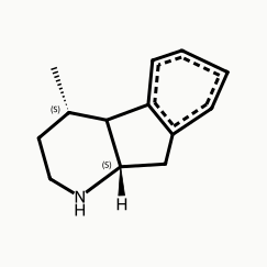 C[C@H]1CCN[C@H]2Cc3ccccc3C21